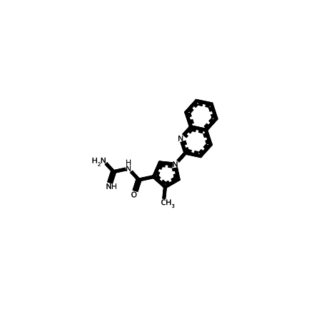 Cc1cn(-c2ccc3ccccc3n2)cc1C(=O)NC(=N)N